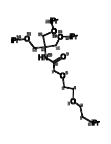 CC(C)CCOCCOCC(=O)NC(COC(C)C)(COC(C)C)COC(C)C